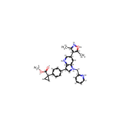 COC(=O)C1(c2ccc(-c3cn(Cc4ccccn4)c4cc(-c5c(C)noc5C)cnc34)cc2)CC1